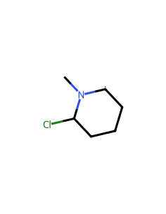 CN1[CH]CCCC1Cl